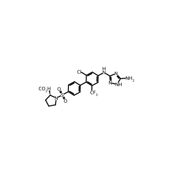 Nc1nc(Nc2cc(Cl)c(-c3ccc(S(=O)(=O)N4CCC[C@H]4C(=O)O)cc3)c(C(F)(F)F)c2)n[nH]1